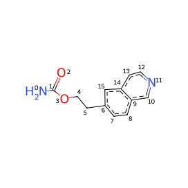 NC(=O)OCCc1ccc2cnccc2c1